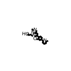 Cc1cccc(-c2ccc(-c3cc4cnc(C)nc4n(CCCO)c3=O)c(C)c2)n1